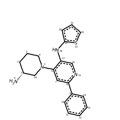 N[C@@H]1CCCN(c2cc(-c3ccccc3)ncc2Nc2cccs2)C1